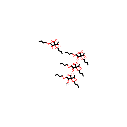 CCCCOCC(=O)C(OCCCC)(C(C)=O)C(=O)[O-].CCCCOCC(=O)C(OCCCC)(C(C)=O)C(=O)[O-].CCCCOCC(=O)C(OCCCC)(C(C)=O)C(=O)[O-].CCCCOCC(=O)C(OCCCC)(C(C)=O)C(=O)[O-].[Ti+4]